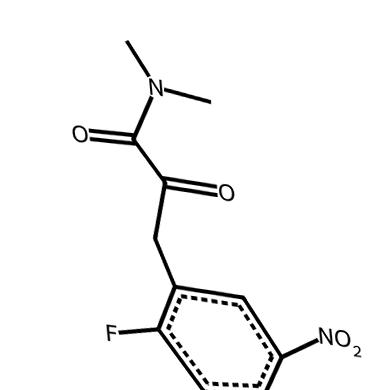 CN(C)C(=O)C(=O)Cc1cc([N+](=O)[O-])ccc1F